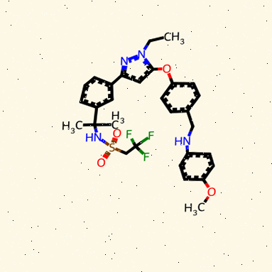 CCn1nc(-c2cccc(C(C)(C)NS(=O)(=O)CC(F)(F)F)c2)cc1Oc1ccc(CNc2ccc(OC)cc2)cc1